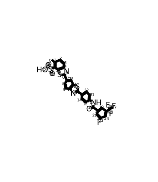 Cc1ccc2nc(-c3ccc4nc(-c5ccc(NC(=O)c6cc(F)cc(C(F)(F)F)c6)cc5)sc4c3)sc2c1S(=O)(=O)O